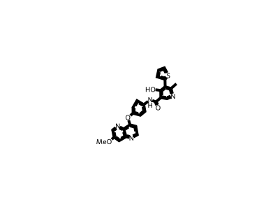 COc1cnc2c(Oc3ccc(NC(=O)c4cnc(C)c(-c5cccs5)c4O)cc3)ccnc2c1